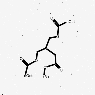 CCCCCCCCC(=O)OCC(COC(=O)CCCCCCCC)CC(=O)OC(C)(C)C